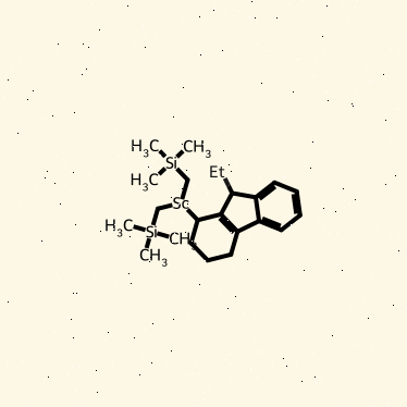 CCC1C2=C(CCC[CH]2[Sc]([CH2][Si](C)(C)C)[CH2][Si](C)(C)C)c2ccccc21